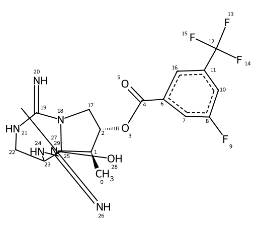 C[C@@H]1[C@@H](OC(=O)c2cc(F)cc(C(F)(F)F)c2)CN2C(=N)NCC3NC(=N)N(O)C312